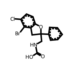 O=C(O)NCC1(c2ccccc2)Cc2c(ccc(Cl)c2Br)O1